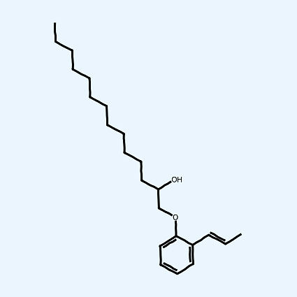 C/C=C/c1ccccc1OCC(O)CCCCCCCCCCCC